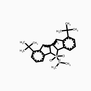 CC1=Cc2c(cccc2C(C)(C)C)[CH]1[Ti]([Cl])([Cl])([CH]1C(C)=Cc2c1cccc2C(C)(C)C)[SiH](C)C